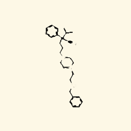 CC(C)C(C#N)(CCCN1CCN(CCNCc2ccccc2)CC1)c1ccccc1